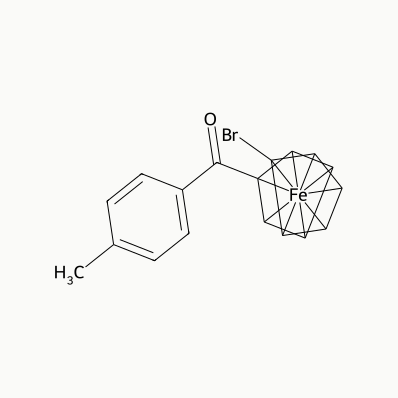 Cc1ccc(C(=O)[C]23[CH]4[CH]5[CH]6[CH]2[Fe]56432789[CH]3[CH]2[CH]7[C]8(Br)[CH]39)cc1